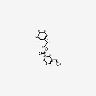 O=CC1=CCCN(C(=O)OCCc2ccccc2)C1